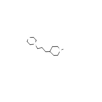 CN1CCC(CCCN2CCOCC2)CC1